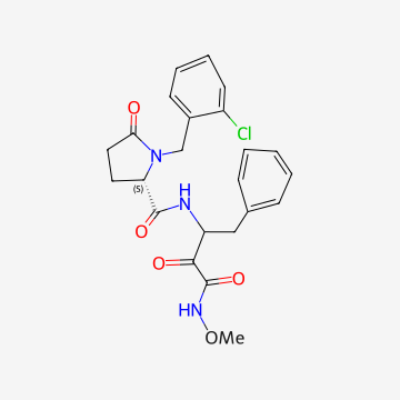 CONC(=O)C(=O)C(Cc1ccccc1)NC(=O)[C@@H]1CCC(=O)N1Cc1ccccc1Cl